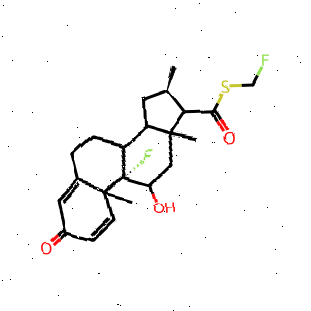 C[C@@H]1CC2C3CCC4=CC(=O)C=CC4(C)[C@]3(F)C(O)CC2(C)C1C(=O)SCF